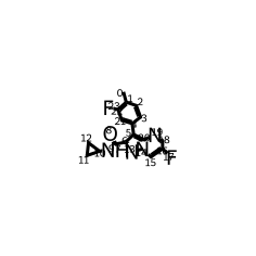 Cc1ccc(-c2c(C(=O)NC3CC3)nn3cc(F)cnc23)cc1F